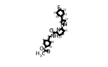 CS(=O)(=O)c1ccc(CNC(=O)c2cccc(-n3cc(-c4ccc(F)cc4)cn3)n2)cc1